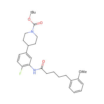 COc1ccccc1CCCCC(=O)Nc1cc(C2CCN(C(=O)OC(C)(C)C)CC2)ccc1F